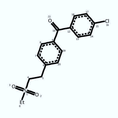 CCS(=O)(=O)CCc1ccc(C(=O)c2ccc(Cl)cc2)cc1